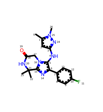 Cc1cc(Nc2c(-c3ccc(F)cc3)nc3n2CC(=O)NC3(C)C)nn1C